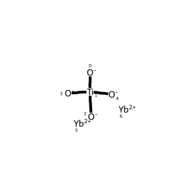 [O-][Ti]([O-])([O-])[O-].[Yb+2].[Yb+2]